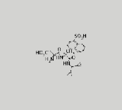 C[C@@H](NC(=O)[C@@H](N)CC(=O)O)C(=O)NC(C1CC1)C1CC1.O=S(=O)(O)c1cccc2ccccc12